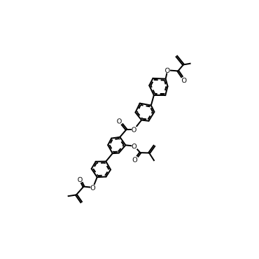 C=C(C)C(=O)Oc1ccc(-c2ccc(OC(=O)c3ccc(-c4ccc(OC(=O)C(=C)C)cc4)cc3OC(=O)C(=C)C)cc2)cc1